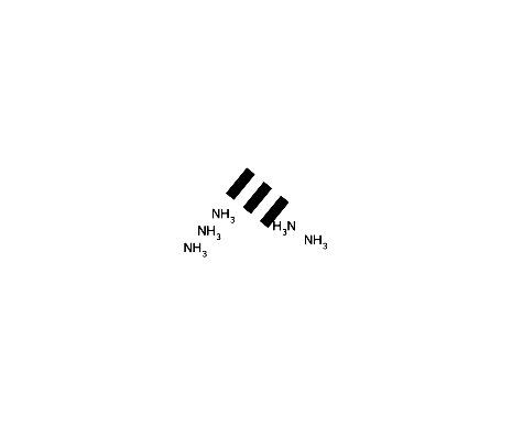 C=C.C=C.C=C.N.N.N.N.N